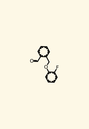 O=Cc1ccccc1COc1ccccc1F